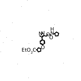 CCOC(=O)C1CCC(Oc2ccc(-c3cnn(C)c3COC(=O)NC3CCCC3)cc2)C1